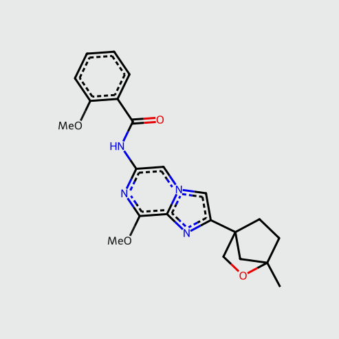 COc1ccccc1C(=O)Nc1cn2cc(C34CCC(C)(C3)OC4)nc2c(OC)n1